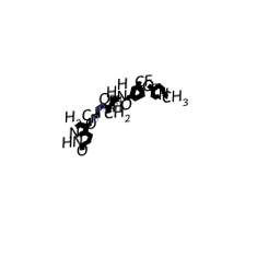 C=C1/C(=C\C=C(/C)Oc2ccnc3c2CCC(=O)N3)O[C@@H]2[C@@H](NC(=O)c3ccc(OC4CCN(C)CC4)c(C(F)(F)F)c3)[C@H]12